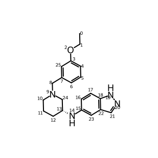 CCOc1cccc(CN2CCC[C@@H](Nc3ccc4[nH]ncc4c3)C2)c1